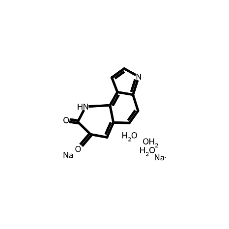 O.O.O.O=C1C=c2ccc3c(c2NC1=O)C=CN=3.[Na].[Na]